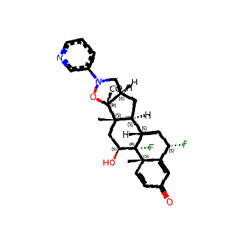 C[C@]12C=CC(=O)C=C1[C@@H](F)C[C@H]1[C@@H]3C[C@H]4CN(c5cccnc5)O[C@@]4(C(=O)O)[C@@]3(C)C[C@H](O)[C@@]12F